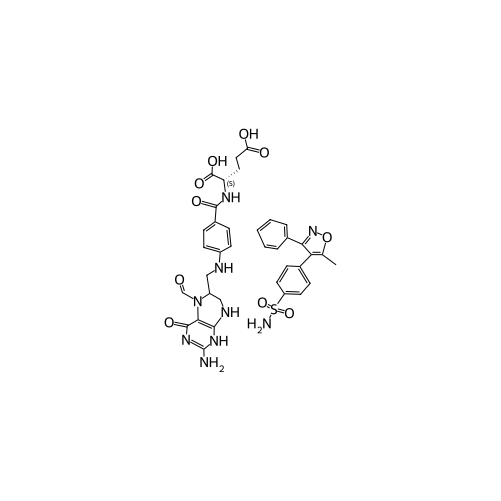 Cc1onc(-c2ccccc2)c1-c1ccc(S(N)(=O)=O)cc1.Nc1nc(=O)c2c([nH]1)NCC(CNc1ccc(C(=O)N[C@@H](CCC(=O)O)C(=O)O)cc1)N2C=O